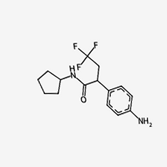 Nc1ccc(C(CC(F)(F)F)C(=O)NC2CCCC2)cc1